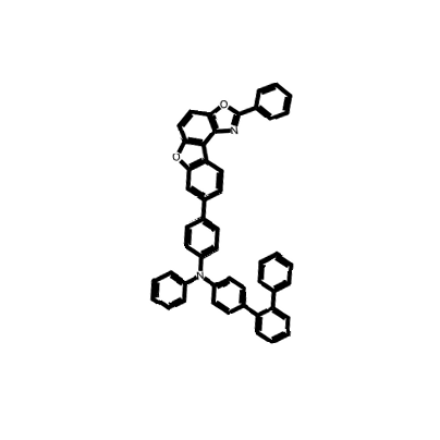 c1ccc(-c2nc3c(ccc4oc5cc(-c6ccc(N(c7ccccc7)c7ccc(-c8ccccc8-c8ccccc8)cc7)cc6)ccc5c43)o2)cc1